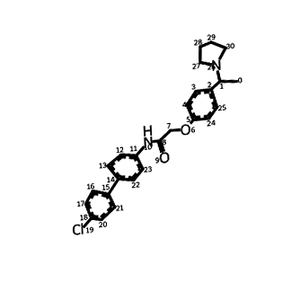 CC(c1ccc(OCC(=O)Nc2ccc(-c3ccc(Cl)cc3)cc2)cc1)N1CCCC1